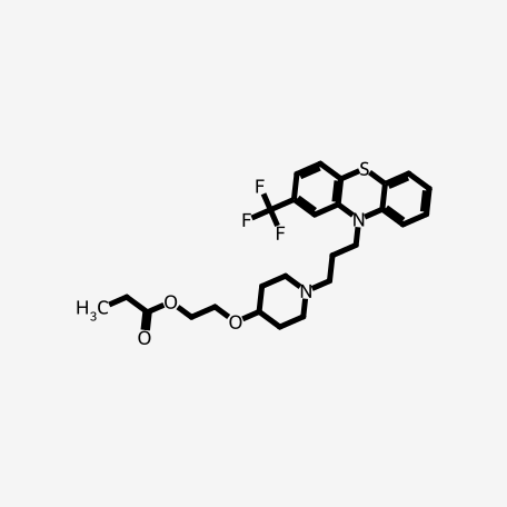 CCC(=O)OCCOC1CCN(CCCN2c3ccccc3Sc3ccc(C(F)(F)F)cc32)CC1